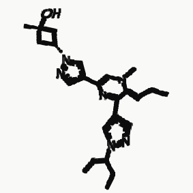 CC/C=C1/C(c2cnn(C(CC)CC)c2)=NC(c2cnn([C@H]3C[C@@](C)(O)C3)c2)=CN1C